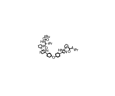 CC(C)[C@@H](C)C(=O)N1CCC[C@H]1c1ncc(-c2ccc(Oc3ccc(-c4cnc([C@@H]5CCCN5C(=O)[C@H](NC(=O)OC(C)(C)C)C(C)C)[nH]4)cc3)cc2)[nH]1